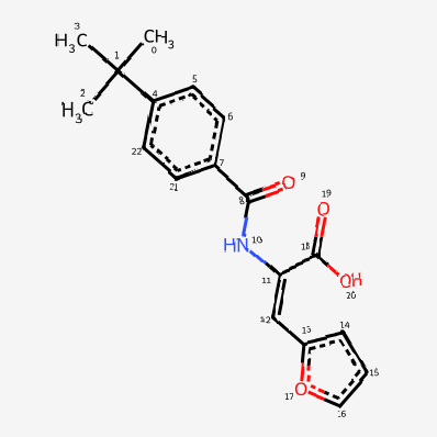 CC(C)(C)c1ccc(C(=O)NC(=Cc2ccco2)C(=O)O)cc1